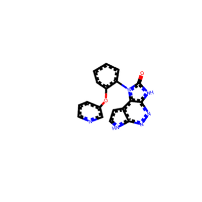 O=c1[nH]c2nnc3[nH]ccc3c2n1-c1ccccc1Oc1cccnc1